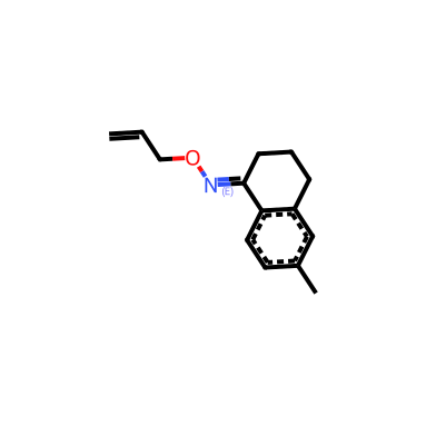 C=CCO/N=C1\CCCc2cc(C)ccc21